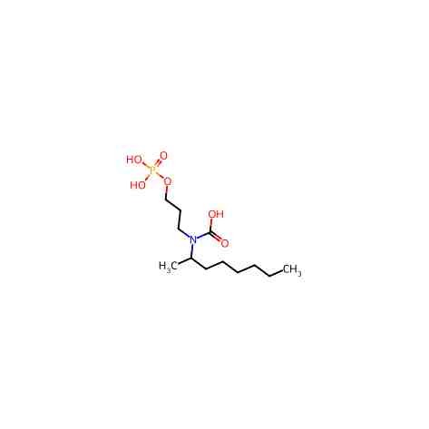 CCCCCCC(C)N(CCCOP(=O)(O)O)C(=O)O